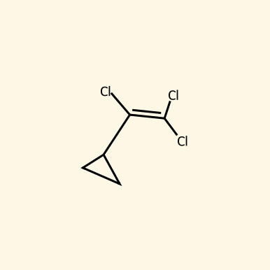 ClC(Cl)=C(Cl)C1CC1